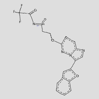 O=C(/N=[SH](=O)/CCOc1ccc2ncc(-c3cc4ccccc4o3)n2n1)C(F)(F)F